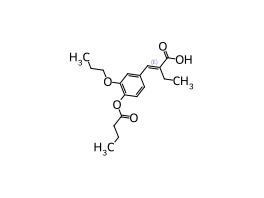 CCCOc1cc(/C=C(\CC)C(=O)O)ccc1OC(=O)CCC